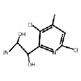 Cc1cc(Cl)nc(C(O)C(O)C(C)C)c1Cl